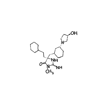 CN1C(=N)N[C@](CCC2CCCCC2)(CC2CCC[C@@H](N3CC[C@@H](O)C3)C2)C1=O